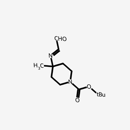 CC1(N=CC=O)CCN(C(=O)OC(C)(C)C)CC1